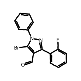 O=Cc1c(-c2ccccc2F)nn(-c2ccccc2)c1Br